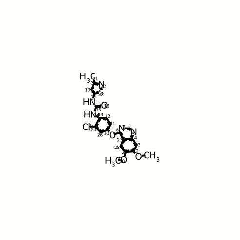 COc1cc2ncnc(Oc3ccc(NC(=O)Nc4cc(C)ns4)c(Cl)c3)c2cc1OC